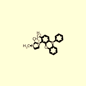 Cc1ccc2c(c1N1C=CN(C)[C@@H]1C)Oc1ccccc1B2c1ccccc1